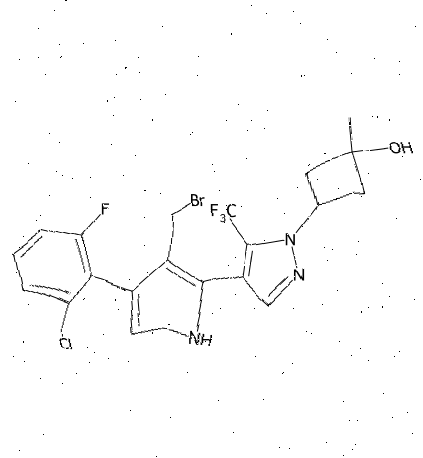 CC1(O)CC(n2ncc(-c3[nH]cc(-c4c(F)cccc4Cl)c3CBr)c2C(F)(F)F)C1